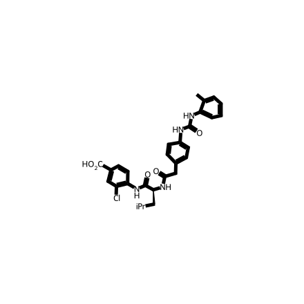 Cc1ccccc1NC(=O)Nc1ccc(CC(=O)N[C@@H](CC(C)C)C(=O)Nc2ccc(C(=O)O)cc2Cl)cc1